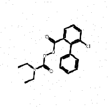 CCN(CC)C(=O)OOC(=O)c1cccc(Cl)c1-c1ccccc1